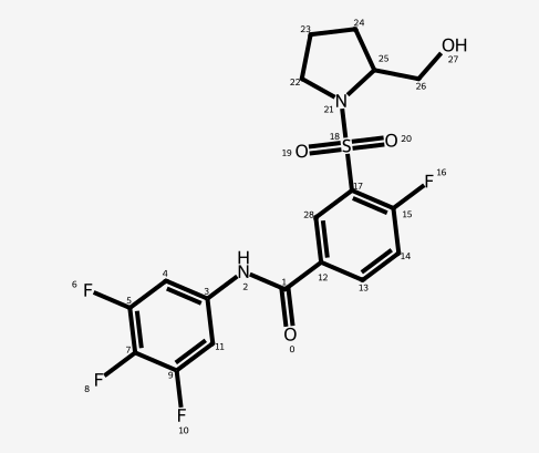 O=C(Nc1cc(F)c(F)c(F)c1)c1ccc(F)c(S(=O)(=O)N2CCCC2CO)c1